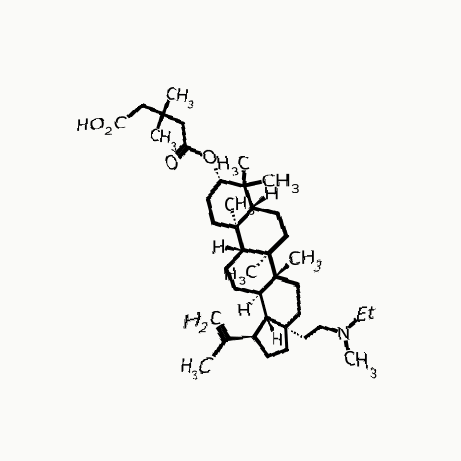 C=C(C)[C@@H]1CC[C@]2(CCN(C)CC)CC[C@]3(C)[C@H](CC[C@@H]4[C@@]5(C)CC[C@H](OC(=O)CC(C)(C)CC(=O)O)C(C)(C)[C@@H]5CC[C@]43C)[C@@H]12